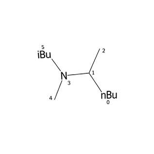 CCCCC(C)N(C)C(C)CC